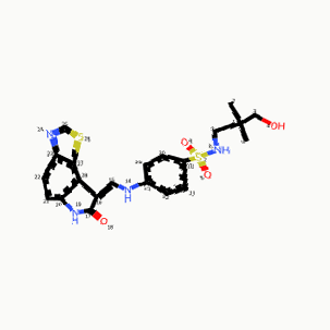 CC(C)(CO)CNS(=O)(=O)c1ccc(NC=C2C(=O)Nc3ccc4ncsc4c32)cc1